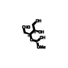 COP(O)O[C@@H](CC=O)[C@H](O)CO